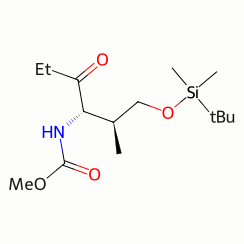 CCC(=O)[C@@H](NC(=O)OC)[C@H](C)CO[Si](C)(C)C(C)(C)C